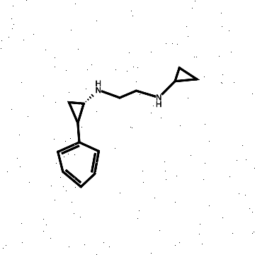 c1ccc(C2C[C@@H]2NCCNC2CC2)cc1